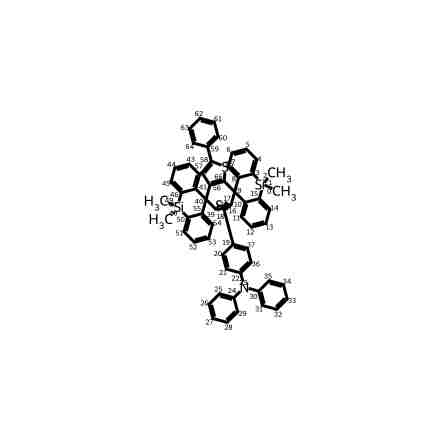 C[Si]1(C)c2ccccc2C2(c3ccccc31)c1cc(-c3ccc(N(c4ccccc4)c4ccccc4)cc3)sc1C1(c3ccccc3[Si](C)(C)c3ccccc31)c1cc(-c3ccccc3)sc12